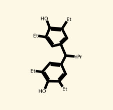 CCCC(c1cc(CC)c(O)c(CC)c1)c1cc(CC)c(O)c(CC)c1